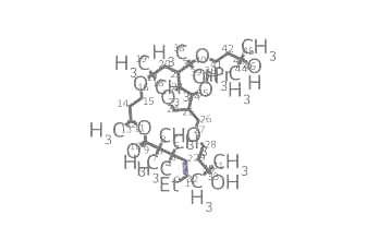 CC/C=C\C(C)(C)C(C)(C)C(=O)OC(C)CCOC(C)(C)CC(C1OCC(COCCC(C)(C)O)C1OCCC)C(C)(C)OCCC(C)(C)O